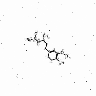 C[C@H](CCC1=CC(OC(F)(F)F)=C(O)CC1)N[S@+]([O-])C(C)(C)C